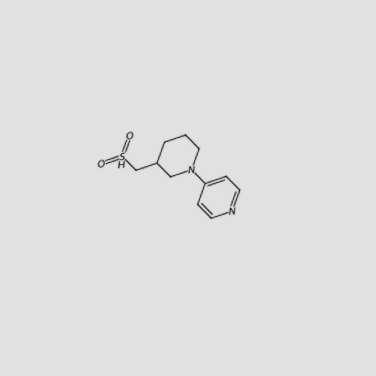 O=[SH](=O)CC1CCCN(c2ccncc2)C1